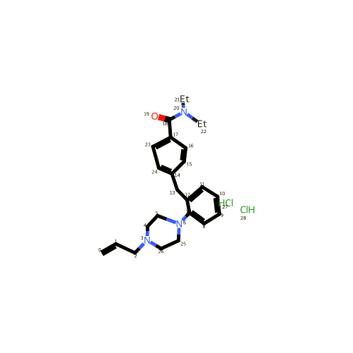 C=CCN1CCN(c2ccccc2Cc2ccc(C(=O)N(CC)CC)cc2)CC1.Cl.Cl